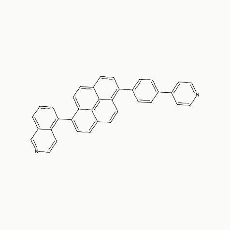 c1cc(-c2ccc3ccc4c(-c5ccc(-c6ccncc6)cc5)ccc5ccc2c3c54)c2ccncc2c1